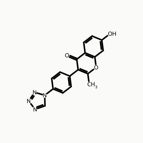 Cc1oc2cc(O)ccc2c(=O)c1-c1ccc(-n2cnnn2)cc1